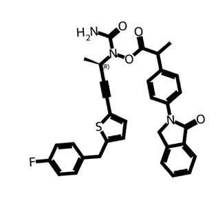 CC(C(=O)ON(C(N)=O)[C@H](C)C#Cc1ccc(Cc2ccc(F)cc2)s1)c1ccc(N2Cc3ccccc3C2=O)cc1